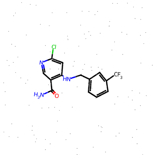 NC(=O)c1cnc(Cl)cc1NCc1cccc(C(F)(F)F)c1